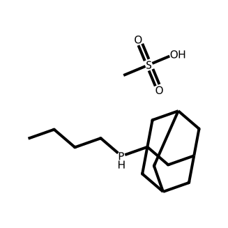 CCCCPC12CC3CC(CC(C3)C1)C2.CS(=O)(=O)O